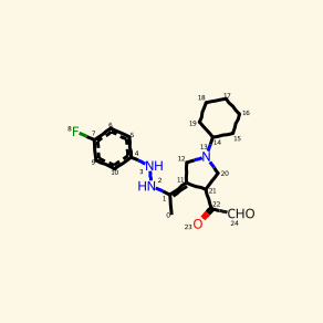 CC(NNc1ccc(F)cc1)=C1CN(C2CCCCC2)CC1C(=O)C=O